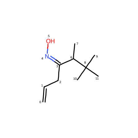 C=CCC(=NO)C(C)C(C)(C)C